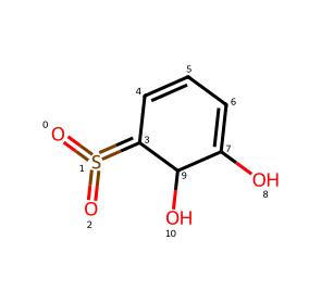 O=S(=O)=C1C=CC=C(O)C1O